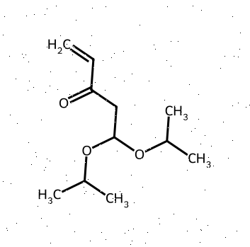 C=CC(=O)CC(OC(C)C)OC(C)C